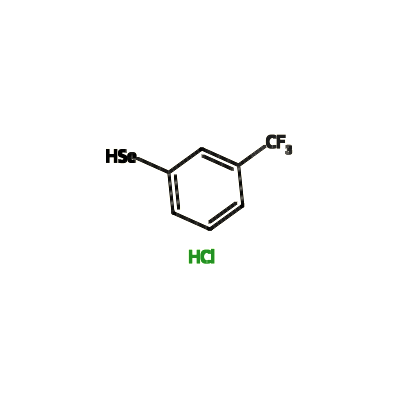 Cl.FC(F)(F)c1cccc([SeH])c1